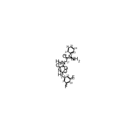 C[C@H](NC(=O)Cc1cc(F)cc(F)c1)C(=O)NCC(=O)N(N)c1ccccc1